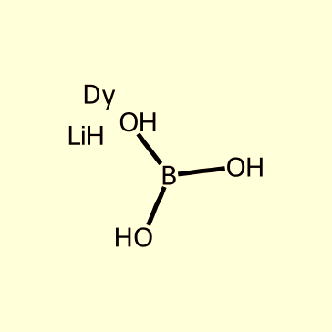 OB(O)O.[Dy].[LiH]